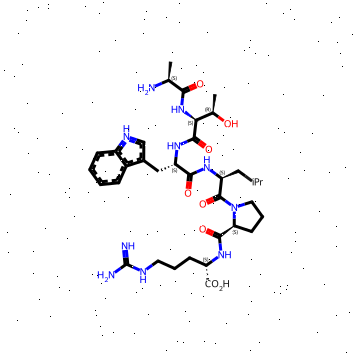 CC(C)C[C@H](NC(=O)[C@H](Cc1c[nH]c2ccccc12)NC(=O)[C@@H](NC(=O)[C@H](C)N)[C@@H](C)O)C(=O)N1CCC[C@H]1C(=O)N[C@@H](CCCNC(=N)N)C(=O)O